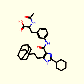 CC(=O)NC(Cc1cccc(NC(=O)c2nc(C3CCCCC3)[nH]c2CCC23CC4CC(CC(C4)C2)C3)c1)C(=O)O